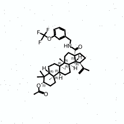 C=C(C)[C@@H]1CC[C@]2(C(=O)NCc3cccc(OC(F)(F)F)c3)CC[C@]3(C)[C@H](CC[C@@H]4[C@@]5(C)CC[C@H](OC(C)=O)C(C)(C)[C@@H]5CC[C@]43C)[C@@H]12